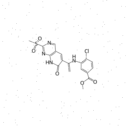 C=C(Nc1cc(C(=O)OC)ccc1Cl)c1cc2cnc(S(C)(=O)=O)nc2[nH]c1=O